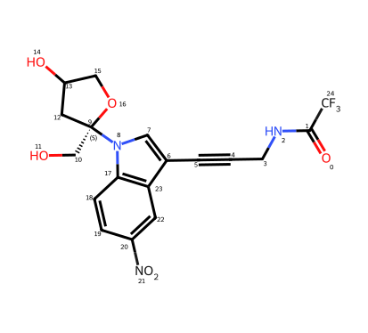 O=C(NCC#Cc1cn([C@@]2(CO)CC(O)CO2)c2ccc([N+](=O)[O-])cc12)C(F)(F)F